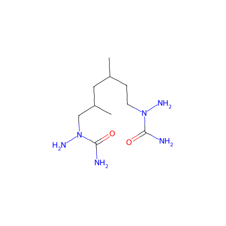 CC(CCN(N)C(N)=O)CC(C)CN(N)C(N)=O